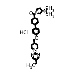 CCc1cnc(N2CCC(COc3ccc(C4=CCC(C(=O)N5CC[C@@H](N(C)C)C5)CC4)cc3)CC2)nc1.Cl